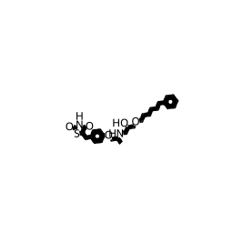 CC(COc1ccc(CC2SC(=O)NC2=O)cc1)NCC(O)COCCCCCCc1ccccc1